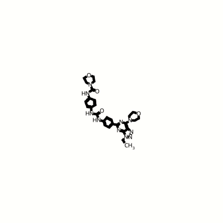 CCn1nnc2c(N3CCOCC3)nc(-c3ccc(NC(=O)Nc4ccc(NC(=O)N5CCOCC5)cc4)cc3)nc21